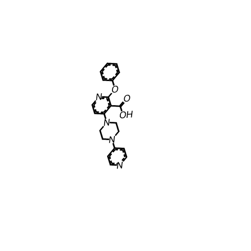 O=C(O)c1c(N2CCN(c3ccncc3)CC2)ccnc1Oc1ccccc1